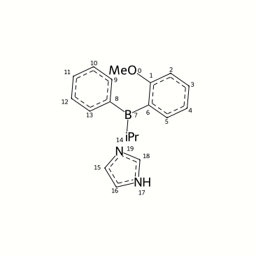 COc1ccccc1B(c1ccccc1)C(C)C.c1c[nH]cn1